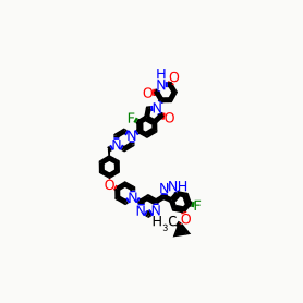 CC1(Oc2cc3c(-c4cc(N5CCC(O[C@H]6CC[C@H](CN7CCN(c8ccc9c(c8F)CN(C8CCC(=O)NC8=O)C9=O)CC7)CC6)CC5)ncn4)n[nH]c3cc2F)CC1